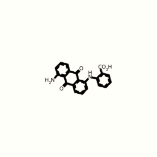 Nc1cccc2c1C(=O)c1cccc(Nc3ccccc3C(=O)O)c1C2=O